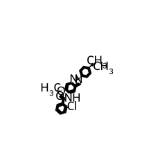 COc1cc2nn([C@H]3CC[C@H](C(C)C)CC3)cc2cc1NC(=O)c1ccccc1Cl